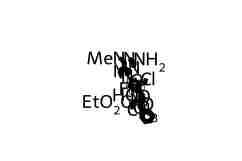 CCOC(=O)[C@@H](C)NP(=O)(Oc1ccccc1)OC1[C@@]2(CCl)O[C@@H](n3cnc4c(NC)nc(N)nc43)[C@H](F)[C@@]12O